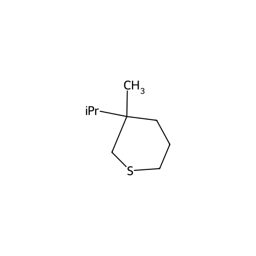 CC(C)C1(C)CCCSC1